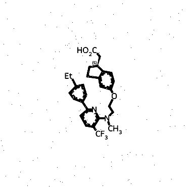 CCc1ccc(-c2ccc(C(F)(F)F)c(N(C)CCOc3ccc4c(c3)CC[C@H]4CC(=O)O)n2)cc1